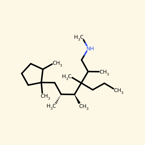 CCCC(C)(C(C)CNC)[C@@H](C)[C@H](C)CC1(C)CCCC1C